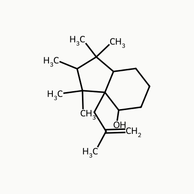 C=C(C)CC12C(O)CCCC1C(C)(C)C(C)C2(C)C